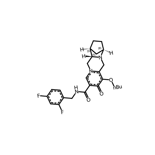 CCCCOc1c2n(cc(C(=O)NCc3ccc(F)cc3F)c1=O)C[C@@H]1[C@H]3CC[C@H](C3)N1C2